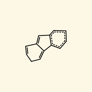 C1=CC2=Cc3ccccc3C2=CC1